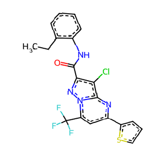 CCc1ccccc1NC(=O)c1nn2c(C(F)(F)F)cc(-c3cccs3)nc2c1Cl